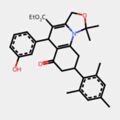 CCOC(=O)C1=C2COC(C)(C)N2C2=C(C(=O)CC(c3c(C)cc(C)cc3C)C2)C1c1cccc(O)c1